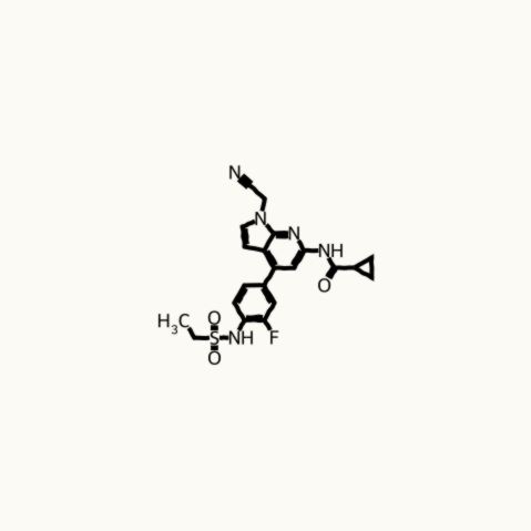 CCS(=O)(=O)Nc1ccc(-c2cc(NC(=O)C3CC3)nc3c2ccn3CC#N)cc1F